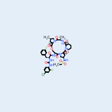 CCS(=O)(=O)NC1C[C@H]2C(=O)N3CCCC[C@H]3C(=O)N[C@@H](C)C(=O)N3C[C@H](C)C[C@H]3C(=O)OC[C@H](NC(=O)[C@H](Cc3cccc(F)c3)NC(=O)Nc3ccc(Cl)cc3F)C(=O)N2C1